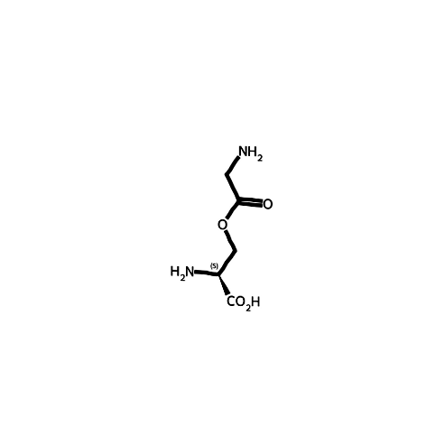 NCC(=O)OC[C@H](N)C(=O)O